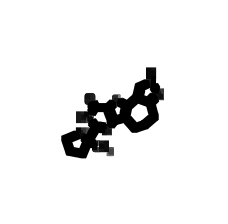 CC1(c2nc3c4c(sc3c(=O)[nH]2)-c2c[nH]nc2CCC4)CCCN1